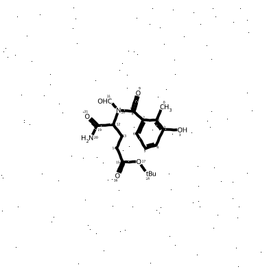 Cc1c(O)cccc1C(=O)N(C=O)C(CCC(=O)OC(C)(C)C)C(N)=O